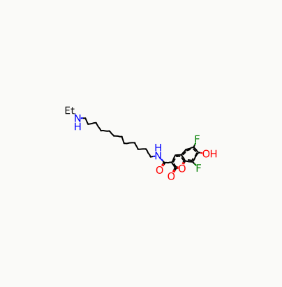 CCNCCCCCCCCCCCCNC(=O)c1cc2cc(F)c(O)c(F)c2oc1=O